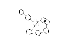 c1ccc(-c2ccc(-c3nc(-c4ccccc4)nc(-n4c5ccccc5c5ccc6c7cccc(-c8ccccc8)c7sc6c54)n3)cc2)cc1